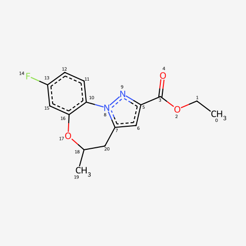 CCOC(=O)c1cc2n(n1)-c1ccc(F)cc1OC(C)C2